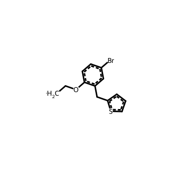 [CH2]COc1ccc(Br)cc1Cc1cccs1